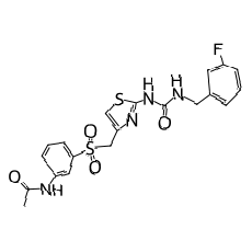 CC(=O)Nc1cccc(S(=O)(=O)Cc2csc(NC(=O)NCc3cccc(F)c3)n2)c1